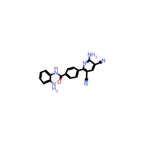 N#Cc1cc(C#N)c(-c2ccc(C(=O)Nc3ccccc3N)cc2)nc1N